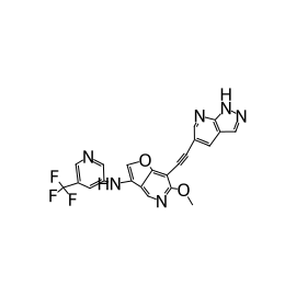 COc1ncc2c(Nc3cncc(C(F)(F)F)c3)coc2c1C#Cc1cnc2[nH]ncc2c1